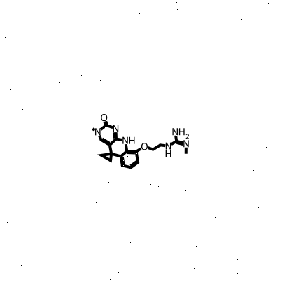 C/N=C(/N)NCCOc1cccc2c1Nc1nc(=O)n(C)cc1C21CC1